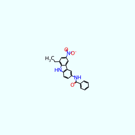 CCc1cc([N+](=O)[O-])cc2c1[nH]c1ccc(NC(=O)c3ccccc3)cc12